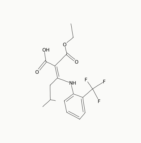 CCOC(=O)C(C(=O)O)=C(CC(C)C)Nc1ccccc1C(F)(F)F